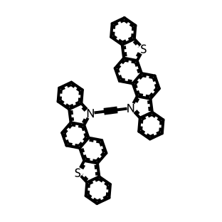 C(#Cn1c2ccccc2c2ccc3c(ccc4c5ccccc5sc43)c21)n1c2ccccc2c2ccc3c(ccc4c5ccccc5sc43)c21